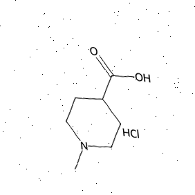 CN1CCC(C(=O)O)CC1.Cl